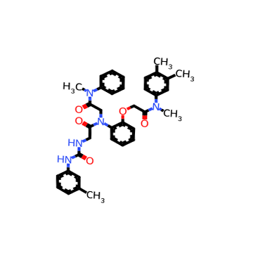 Cc1cccc(NC(=O)NCC(=O)N(CC(=O)N(C)c2ccccc2)c2ccccc2OCC(=O)N(C)c2ccc(C)c(C)c2)c1